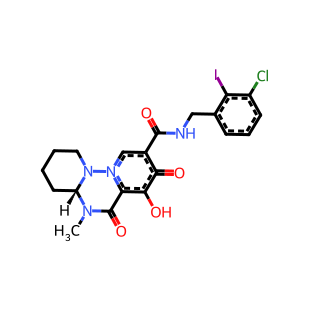 CN1C(=O)c2c(O)c(=O)c(C(=O)NCc3cccc(Cl)c3I)cn2N2CCCC[C@@H]12